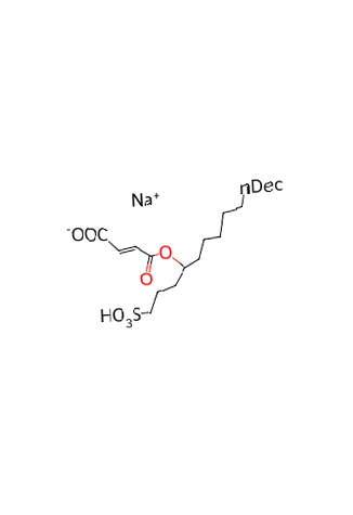 CCCCCCCCCCCCCCCC(CCCS(=O)(=O)O)OC(=O)C=CC(=O)[O-].[Na+]